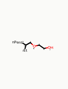 CCCCCC(CC)COCCO